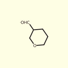 O=[C]C1CCCOC1